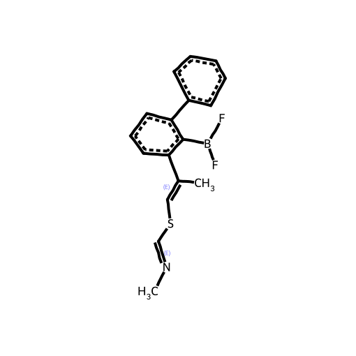 C/N=C/S/C=C(\C)c1cccc(-c2ccccc2)c1B(F)F